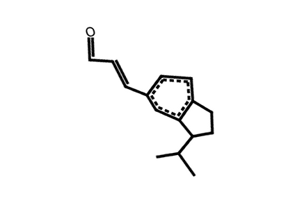 CC(C)C1CCc2ccc(C=CC=O)cc21